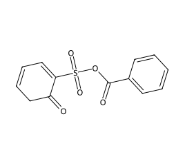 O=C1CC=CC=C1S(=O)(=O)OC(=O)c1ccccc1